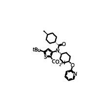 CC(C)(C)c1cc(N(C(=O)[C@H]2CC[C@H](C)CC2)[C@H]2CC[C@H](Oc3ccccn3)CC2)c(C(=O)O)s1